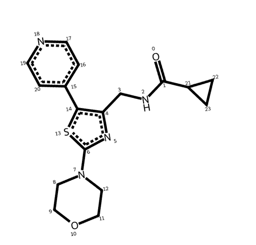 O=C(NCc1nc(N2CCOCC2)sc1-c1ccncc1)C1CC1